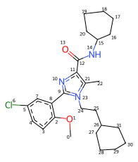 COc1ccc(Cl)cc1-c1nc(C(=O)NC2CCCCC2)c(C)n1CCC1CCCCC1